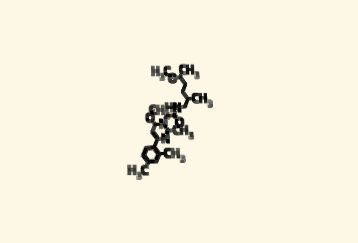 COC(C)CCC(C)CNC(=O)CN1C(C)=NC(c2ccc(C)cc2C)=CC1OC